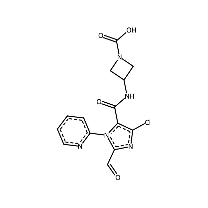 O=Cc1nc(Cl)c(C(=O)NC2CN(C(=O)O)C2)n1-c1ccccn1